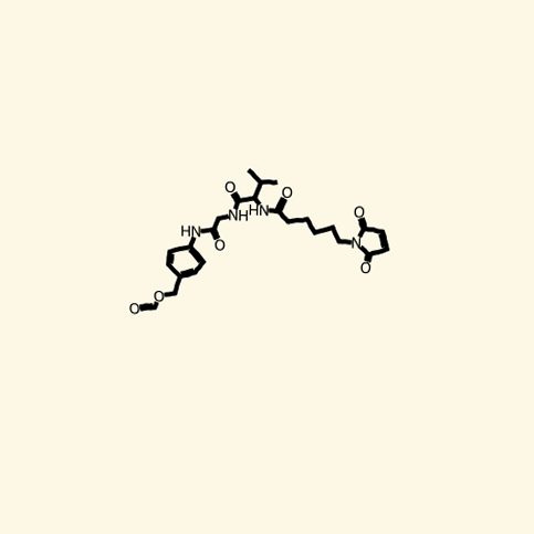 CC(C)C(NC(=O)CCCCCN1C(=O)C=CC1=O)C(=O)NCC(=O)Nc1ccc(COC=O)cc1